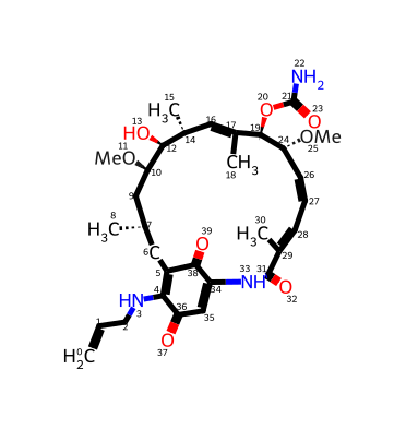 C=CCNC1=C2C[C@H](C)C[C@@H](OC)[C@@H](O)[C@H](C)/C=C(\C)[C@@H](OC(N)=O)[C@H](OC)/C=C\C=C(/C)C(=O)NC(=CC1=O)C2=O